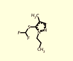 CCCn1n[c]c(C)c1SC(F)F